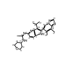 C/C(=N/c1ccc2[nH]c(-c3cn4ncnc4c(C)c3C)c(C(C)C)c2n1)NC1CCOCC1